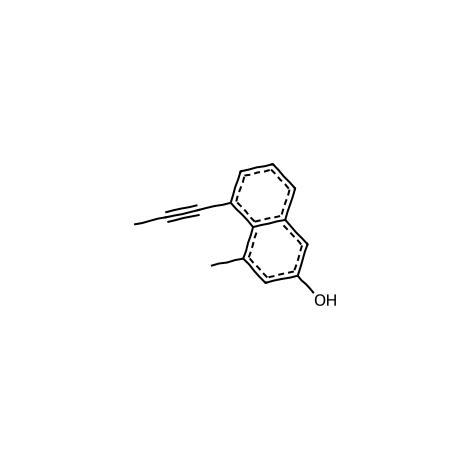 CC#Cc1cccc2cc(O)cc(C)c12